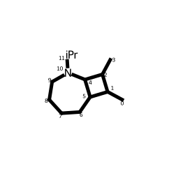 CC1C(C)C2C1CCCCN2C(C)C